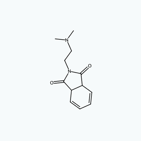 CN(C)CCN1C(=O)C2C=CC=CC2C1=O